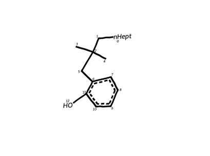 CCCCCCCCC(C)(C)Cc1ccccc1O